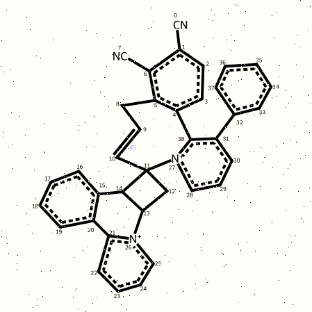 N#Cc1ccc2c(c1C#N)C/C=C/C1(CC3C1c1ccccc1-c1cccc[n+]13)[n+]1cccc(-c3ccccc3)c1-2